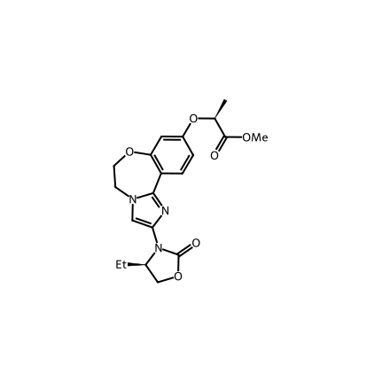 CC[C@@H]1COC(=O)N1c1cn2c(n1)-c1ccc(O[C@@H](C)C(=O)OC)cc1OCC2